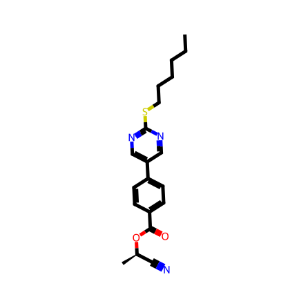 CCCCCCSc1ncc(-c2ccc(C(=O)O[C@H](C)C#N)cc2)cn1